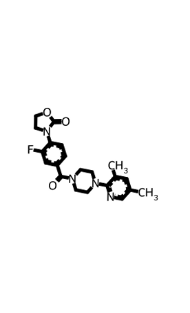 Cc1cnc(N2CCN(C(=O)c3ccc(N4CCOC4=O)c(F)c3)CC2)c(C)c1